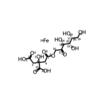 O=C(O)CC(O)(CC(=O)OCC(=O)[C@H](O)[C@@H](O)[C@H](O)CO)C(=O)O.[Fe]